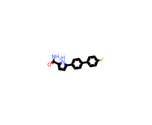 NC(=O)c1ccc(-c2ccc(-c3ccc(F)cc3)cc2)[nH]1